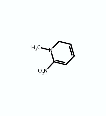 CN1CC=CC=C1[N+](=O)[O-]